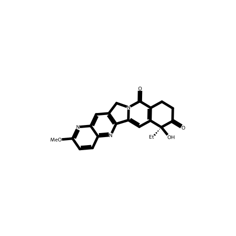 CC[C@@]1(O)C(=O)CCc2c1cc1n(c2=O)Cc2cc3nc(OC)ccc3nc2-1